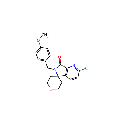 COc1ccc(CN2C(=O)c3nc(Cl)ccc3C23CCOCC3)cc1